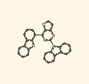 c1ccc2c(c1)sc1c(-c3nc(-n4c5ccccc5c5ccccc54)nc4ccoc34)cccc12